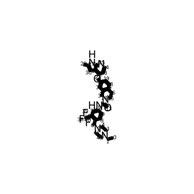 CCN1CCN(Cc2ccc(NC(=O)N3CCc4ccc(Oc5ccnc6[nH]c(C)cc56)cc4C3)cc2C(F)(F)F)CC1